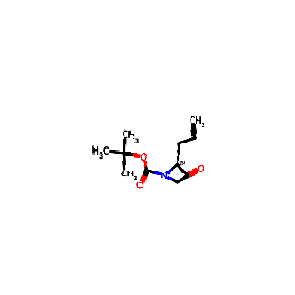 C=CC[C@H]1C(=O)CN1C(=O)OC(C)(C)C